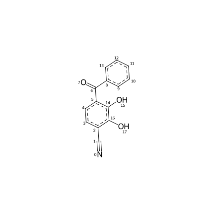 N#Cc1ccc(C(=O)c2ccccc2)c(O)c1O